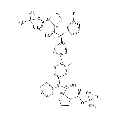 CC(C)(C)OC(=O)N1CCC[C@@H]1[C@H](O)[C@H](c1ccc(-c2ccc([C@H](c3ccccc3)[C@H](O)[C@H]3CCCN3C(=O)OC(C)(C)C)cc2F)cc1)c1cccc(F)c1